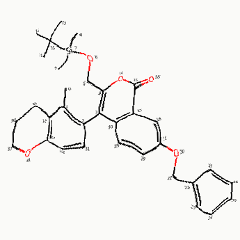 Cc1c(-c2c(CO[Si](C)(C)C(C)(C)C)oc(=O)c3cc(OCc4ccccc4)ccc23)ccc2c1CCCO2